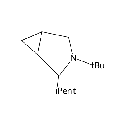 CCCC(C)C1C2CC2CN1C(C)(C)C